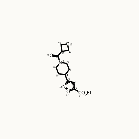 CCOC(=O)c1cc(C2CCN(C(=O)C3COC3)CC2)no1